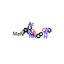 CCCC1(C(=O)N(CC(=O)Nc2ccc3c(c2)C[C@H](C(=O)Nc2ccccn2)C3)Cc2ccccc2CNC)CCN(C(C)=O)CC1